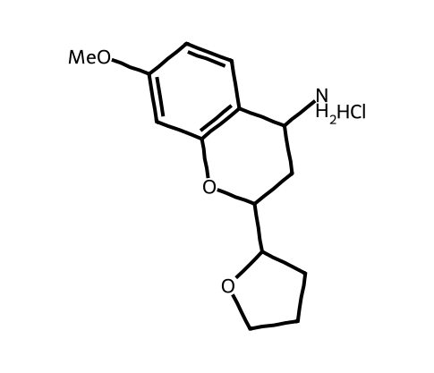 COc1ccc2c(c1)OC(C1CCCO1)CC2N.Cl